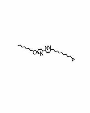 CCCCCCCCOc1ccc(-c2ccc(CCCCCCCCCC3CC3)nn2)nc1